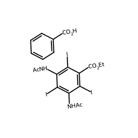 CCOC(=O)c1c(I)c(NC(C)=O)c(I)c(NC(C)=O)c1I.O=C(O)c1ccccc1